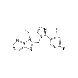 CCn1c(Cn2ccnc2-c2ccc(F)cc2F)nc2cccnc21